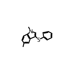 Cc1ccc2c(c1)c(Sc1ccccc1)cn2C